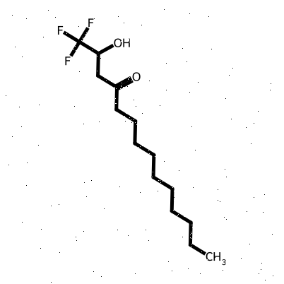 CCCCCCCCCCC(=O)CC(O)C(F)(F)F